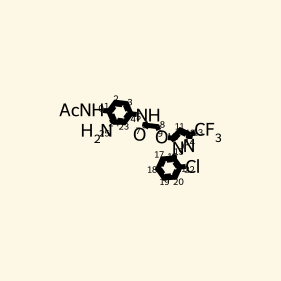 CC(=O)Nc1ccc(NC(=O)COc2cc(C(F)(F)F)nn2-c2ccccc2Cl)cc1N